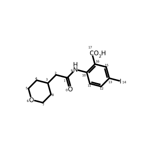 O=C(CC1CCOCC1)Nc1ccc(I)cc1C(=O)O